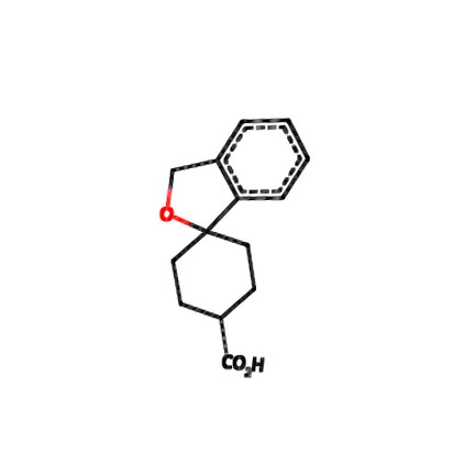 O=C(O)C1CCC2(CC1)OCc1ccccc12